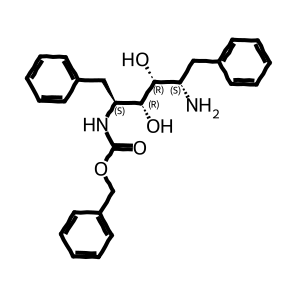 N[C@@H](Cc1ccccc1)[C@@H](O)[C@H](O)[C@H](Cc1ccccc1)NC(=O)OCc1ccccc1